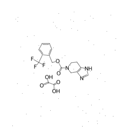 O=C(O)C(=O)O.O=C(OCc1ccccc1C(F)(F)F)N1CCc2[nH]cnc2C1